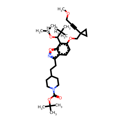 COCC#CC1(COc2ccc3c(CCC4CCN(C(=O)OC(C)(C)C)CC4)noc3c2C(O[SiH](C)C)C(C)(C)C)CC1